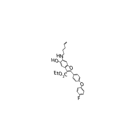 C=CCCCNc1cc2oc(-c3ccc(Oc4ccc(F)cc4)cc3)c(C(=O)OCC)c2cc1O